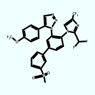 CS(=O)(=O)c1cccc(-c2ccc(-n3cc(C(F)(F)F)nc3C(F)F)c(-n3nncc3-c3ccc(OC(F)(F)F)cc3)c2)c1